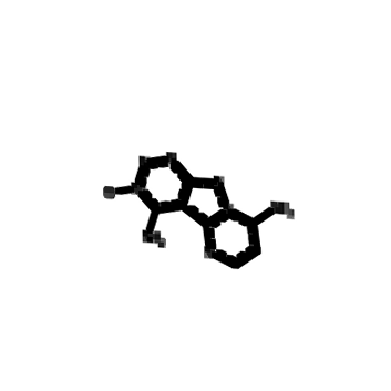 Nc1ccnc2c3c(N)[n+]([O-])nnc3nn12